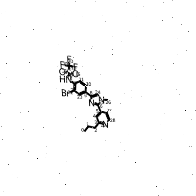 CCCc1cc(-c2nc(-c3ccc(NS(=O)(=O)C(F)(F)F)c(Br)c3)cn2C)ccn1